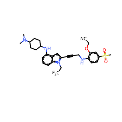 CN(C)C1CCC(Nc2cccc3c2cc(C#CCNc2ccc(S(C)(=O)=O)cc2OCC#N)n3CC(F)(F)F)CC1